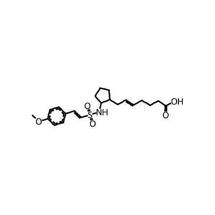 COc1ccc(/C=C/S(=O)(=O)NC2CCCC2C/C=C/CCCC(=O)O)cc1